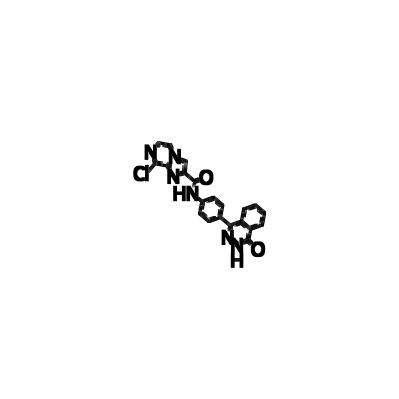 O=C(Nc1ccc(-c2n[nH]c(=O)c3ccccc23)cc1)c1cn2ccnc(Cl)c2n1